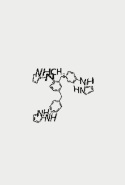 CN(c1ccc[nH]1)c1ccc(Cc2ccc(Nc3ccc[nH]3)cc2)cc1Cc1ccc(Nc2ccc[nH]2)cc1